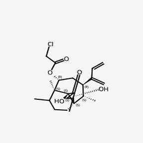 C=CC(=C)[C@@H]1C[C@@H](OC(=O)CCl)[C@]2(C)C(C)CC[C@]3(C[C@H](O)C(=O)[C@]32O)[C@H]1C